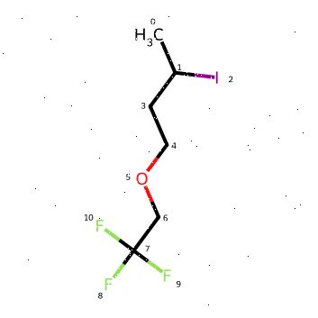 CC(I)CCOCC(F)(F)F